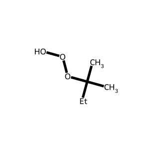 CCC(C)(C)OOO